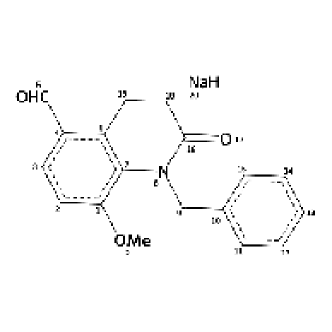 COc1ccc(C=O)c2c1N(Cc1ccccc1)C(=O)CC2.[NaH]